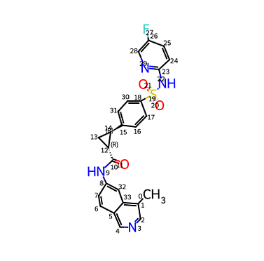 Cc1cncc2ccc(NC(=O)[C@@H]3C[C@H]3c3ccc(S(=O)(=O)Nc4ccc(F)cn4)cc3)cc12